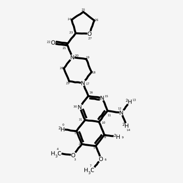 [2H]c1c(OC)c(OC)c([2H])c2c(N([2H])[2H])nc(N3CCN(C(=O)C4CCCO4)CC3)nc12